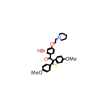 Br.COc1ccc(-c2sc3cc(OC)ccc3c2C(=O)c2ccc(OCCN3CCCCC3)cc2)cc1